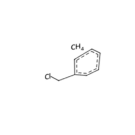 C.ClCc1ccccc1